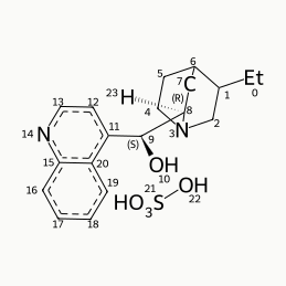 CCC1CN2CCC1C[C@@H]2[C@@H](O)c1ccnc2ccccc12.O=S(=O)(O)O